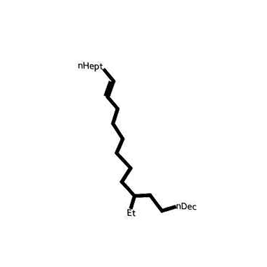 [CH2]CCCCCCC=CCCCCCCC(CC)CCCCCCCCCCC[CH2]